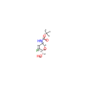 CC(C)(C)OC(=O)N[C@H]1CO[C@H](CO)[C@@H](F)C1